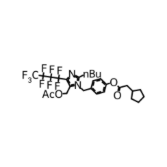 CCCCc1nc(C(F)(F)C(F)(F)C(F)(F)C(F)(F)F)c(COC(C)=O)n1Cc1ccc(OC(=O)CC2CCCC2)cc1